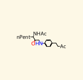 CCCCCC(NC(C)=O)C(=O)CNc1ccc(CCC(C)=O)cc1